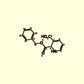 O=C(O)C1=CC=CNC1C(=O)OCc1ccccc1